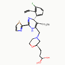 C#Cc1c(F)cccc1[C@H]1N=C(c2nccs2)NC(CN2CCO[C@H](CCC(O)O)C2)=C1C(=O)OCC